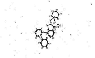 CC1(CC2Cc3c(-c4ccccc4-c4ccccc4)cccc3C2O)CCCCC1